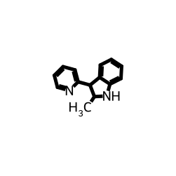 CC1Nc2ccccc2C1c1ccccn1